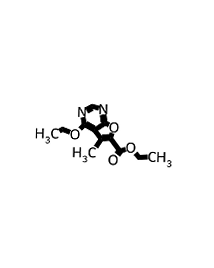 CCOC(=O)c1oc2ncnc(OCC)c2c1C